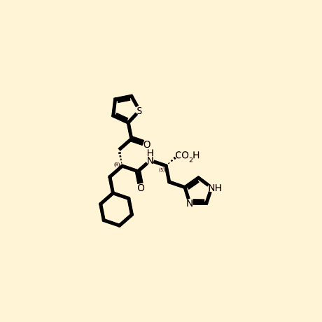 O=C(C[C@@H](CC1CCCCC1)C(=O)N[C@@H](Cc1c[nH]cn1)C(=O)O)c1cccs1